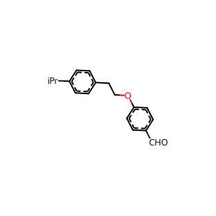 CC(C)c1ccc(CCOc2ccc(C=O)cc2)cc1